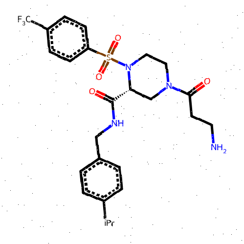 CC(C)c1ccc(CNC(=O)[C@H]2CN(C(=O)CCN)CCN2S(=O)(=O)c2ccc(C(F)(F)F)cc2)cc1